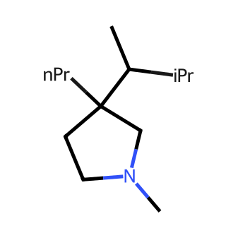 CCCC1(C(C)C(C)C)CCN(C)C1